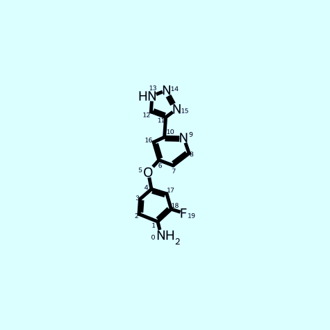 Nc1ccc(Oc2ccnc(-c3c[nH]nn3)c2)cc1F